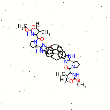 COC(=O)N[C@H](C(=O)N1CCC[C@H]1c1nc2cc(-c3cc4ccc3CCc3ccc(c(-c5ccc6[nH]c([C@@H]7CCCN7C(=O)[C@@H](NC(=O)OC)C(C)C)nc6c5)c3)CC4)ccc2[nH]1)C(C)C